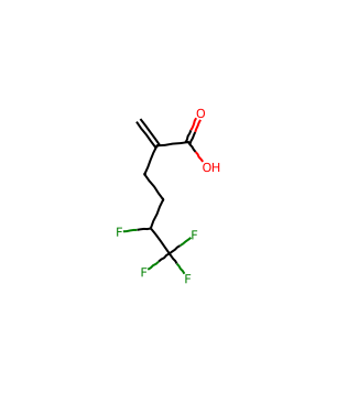 C=C(CCC(F)C(F)(F)F)C(=O)O